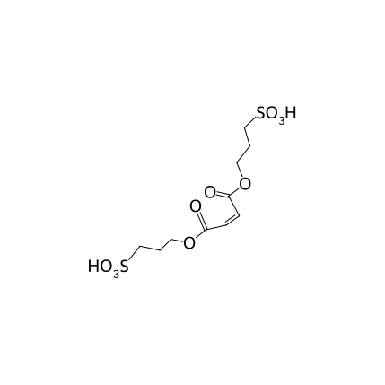 O=C(/C=C\C(=O)OCCCS(=O)(=O)O)OCCCS(=O)(=O)O